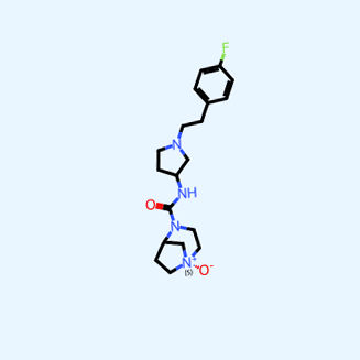 O=C(NC1CCN(CCc2ccc(F)cc2)C1)N1CC[N@@+]2([O-])CCC1C2